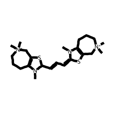 CN1C(=CC=CC2SC3=C(CCC[N+](C)(C)C3)N2C)SC2=C1CCC[N+](C)(C)C2